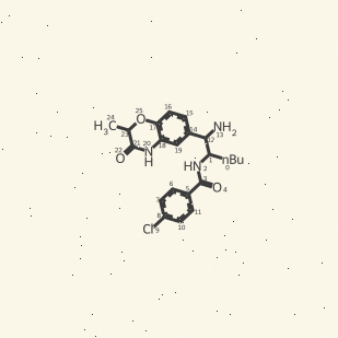 CCCCC(NC(=O)c1ccc(Cl)cc1)C(N)c1ccc2c(c1)NC(=O)C(C)O2